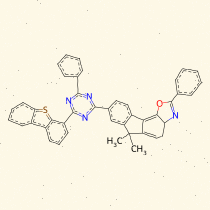 CC1(C)C2=CCC3N=C(c4ccccc4)OC3=C2c2ccc(-c3nc(-c4ccccc4)nc(-c4cccc5c4sc4ccccc45)n3)cc21